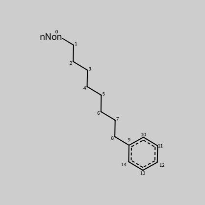 CCCCCCCCCCCCCCCCCc1ccccc1